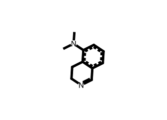 CN(C)c1cccc2c1CCN=C2